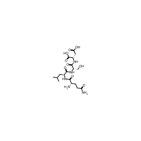 CC(C)C[C@H](NC(=O)[C@@H](N)CCC(N)=O)C(=O)N[C@@H](CO)C(=O)N[C@@H](CC(=O)O)C(=O)O